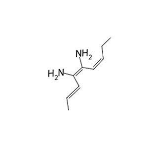 C/C=C/C(N)=C(N)\C=C/CC